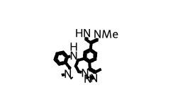 CN/C=C(\C=N)c1ccc2c(c1)C(Nc1ccccc1CN(C)C)CCn1nnc(C)c1-2